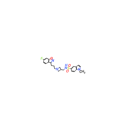 Cn1ccc2cc(S(=O)(=O)NCC3CN(CCCc4noc5cc(F)ccc45)C3)ccc21